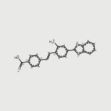 Cc1cc(-c2nc3ccccc3o2)ccc1C=Cc1ccc(C(=O)O)cc1